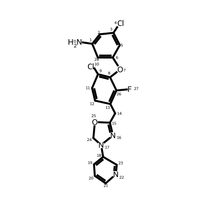 Nc1cc(Cl)cc(Oc2c(Cl)ccc(CC3=NN(c4cccnc4)CO3)c2F)c1